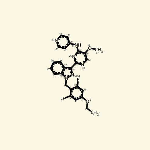 [CH2]COc1cc(F)c(Cn2nc(-c3ncc(OC)c(Nc4ccncc4)n3)c3ccccc32)c(F)c1